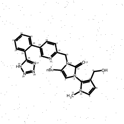 CCCCc1cn(-c2c(CO)ccn2C)c(=O)n1Cc1ccc(-c2ccccc2-c2nnn[nH]2)cn1